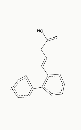 O=C(O)CC=Cc1ccccc1-c1ccncc1